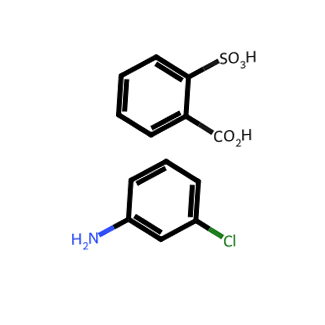 Nc1cccc(Cl)c1.O=C(O)c1ccccc1S(=O)(=O)O